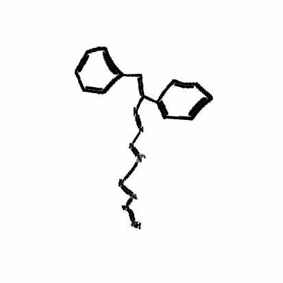 N=NN=N[N+]=NN=NC(=Cc1ccccc1)c1ccccc1